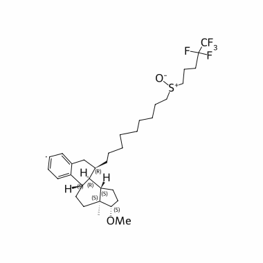 CO[C@H]1CC[C@H]2[C@@H]3[C@H](CCCCCCCCC[S+]([O-])CCCC(F)(F)C(F)(F)F)Cc4c[c]ccc4[C@H]3CC[C@]12C